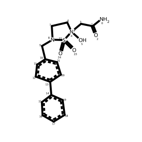 NC(=O)C[N+]1(O)CCN(Cc2ccc(-c3ccccc3)cc2)S1(=O)=O